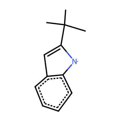 CC(C)(C)C1=Cc2ccccc2[N]1